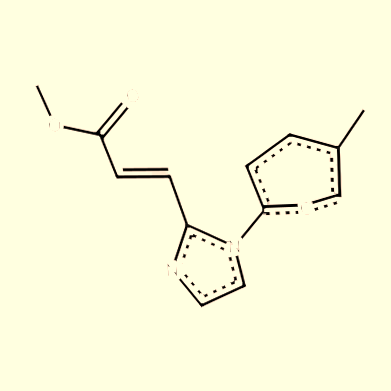 COC(=O)C=Cc1nccn1-c1ccc(C)cc1